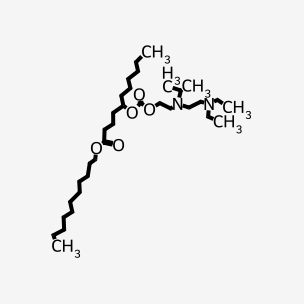 CCCCCCCCCCCOC(=O)CCCC(CCCCCC)OC(=O)OCCN(CCN(CC)CC)C(C)C